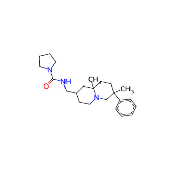 CC1(c2ccccc2)CCC2(C)CC(CNC(=O)N3CCCC3)CCN2C1